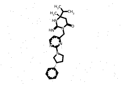 CC(C)[C@]1(C)CC(=O)N(Cc2ccnc(N3CC[C@H](c4ccccc4)C3)n2)C(=N)N1